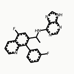 CC(Nc1ncnc2[nH]cnc12)c1cc(F)c2cccnc2c1-c1cccc(F)c1